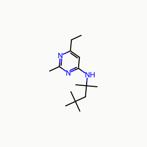 CCc1cc(NC(C)(C)CC(C)(C)C)nc(C)n1